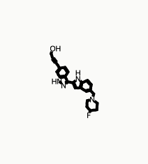 OCC#Cc1ccc2c(-c3cc4cc(CN5CCC(F)CC5)ccc4[nH]3)n[nH]c2c1